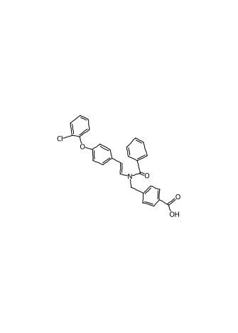 O=C(O)c1ccc(CN(C=Cc2ccc(Oc3ccccc3Cl)cc2)C(=O)c2ccccc2)cc1